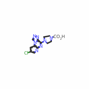 O=C(O)N1CCN(c2nc3ncc(Cl)cc3n3cnnc23)CC1